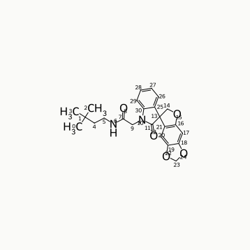 CC(C)(C)CCNC(=O)CN1C(=O)C2(COc3cc4c(cc32)OCO4)c2ccccc21